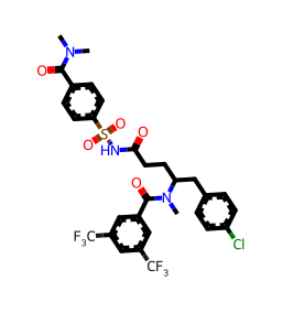 CN(C)C(=O)c1ccc(S(=O)(=O)NC(=O)CCC(Cc2ccc(Cl)cc2)N(C)C(=O)c2cc(C(F)(F)F)cc(C(F)(F)F)c2)cc1